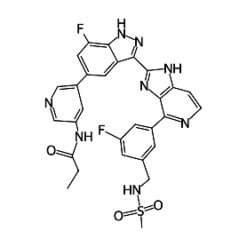 CCC(=O)Nc1cncc(-c2cc(F)c3[nH]nc(-c4nc5c(-c6cc(F)cc(CNS(C)(=O)=O)c6)nccc5[nH]4)c3c2)c1